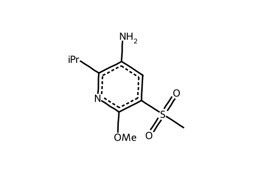 COc1nc(C(C)C)c(N)cc1S(C)(=O)=O